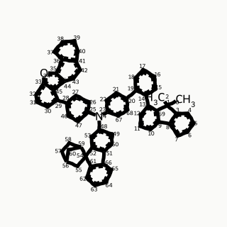 CC1(C)c2ccccc2-c2cccc(-c3ccccc3-c3ccc(N(c4ccc(-c5cccc6oc7c8ccccc8ccc7c56)cc4)c4ccc5c(c4)C4(CC6CCC4C6)c4ccccc4-5)cc3)c21